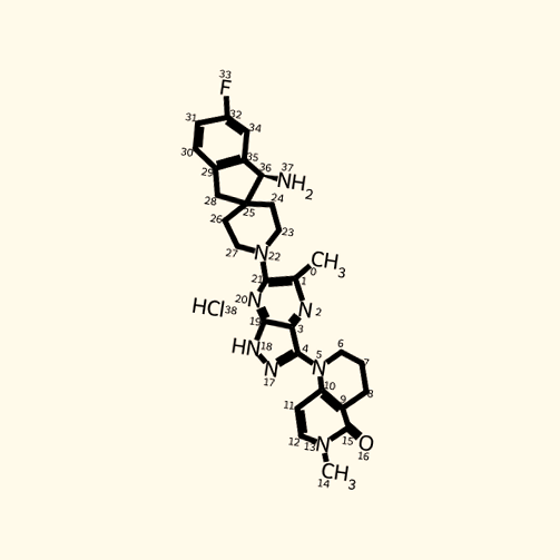 Cc1nc2c(N3CCCc4c3ccn(C)c4=O)n[nH]c2nc1N1CCC2(CC1)Cc1ccc(F)cc1[C@H]2N.Cl